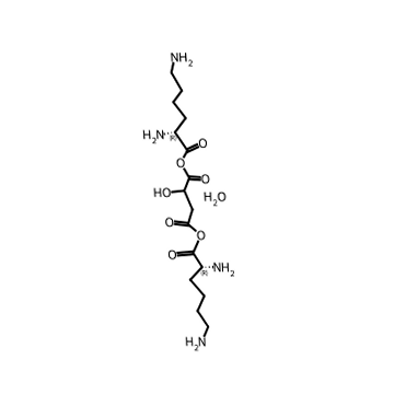 NCCCC[C@@H](N)C(=O)OC(=O)CC(O)C(=O)OC(=O)[C@H](N)CCCCN.O